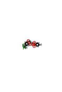 Cc1ccc(S(=O)(=O)OC[C@H]2COc3ccc(C(F)(F)F)cc3O2)cc1